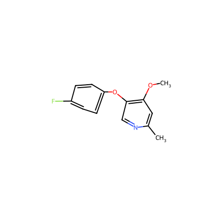 COc1cc(C)ncc1Oc1ccc(F)cc1